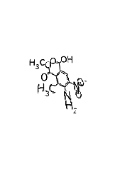 COC(=O)c1c(C(=O)O)cc([N+](=O)[O-])c(N)c1C